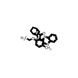 CCOc1ccc(C)nc1C(=O)N1C2CCC1C(Nc1cnc3ccccc3n1)C2